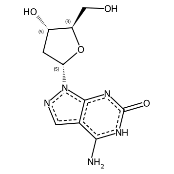 Nc1[nH]c(=O)nc2c1cnn2[C@@H]1C[C@H](O)[C@@H](CO)O1